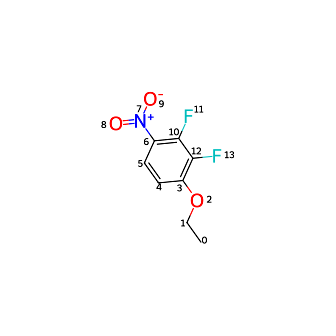 CCOc1ccc([N+](=O)[O-])c(F)c1F